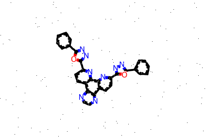 c1ccc(-c2nnc(-c3ccc4c5nccnc5c5ccc(-c6nnc(-c7ccccc7)o6)nc5c4n3)o2)cc1